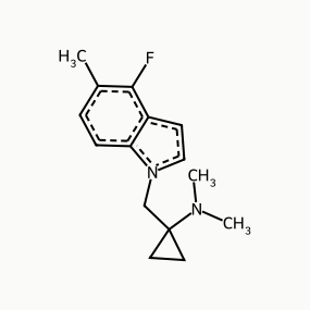 Cc1ccc2c(ccn2CC2(N(C)C)CC2)c1F